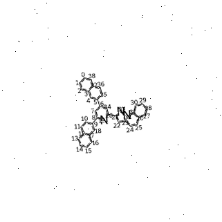 c1ccc2cc(-c3cc(-c4ccc5ccccc5c4)nc(-c4cc5ccc6ccccc6n5n4)c3)ccc2c1